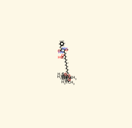 C[Si](C)(C)O[Si](C)(C)O[Si](C)(CCCCCCCCCCCC(CC1NC(=O)[C@H](Cc2ccccc2)NC1=O)OO)O[Si](C)(C)C